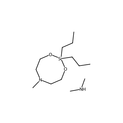 CCC[Si]1(CCC)OCCN(C)CCO1.CNC